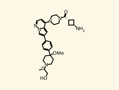 COC1(c2ccc(-c3cc4c(N5CCN(C(=O)[C@H]6C[C@H](N)C6)CC5)ccnn4c3)cc2)CCN([C@H](C)CO)CC1